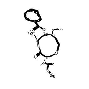 CCCCO[C@H]1CCOC[C@H](NC(=O)OC(C)(C)C)C(=O)O[C@@H](C)[C@@H]1OC(=O)c1ccccc1